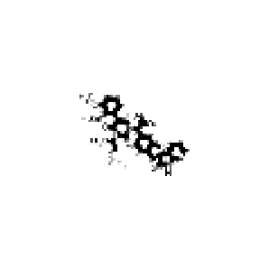 COC[C@@H](C)n1c(=O)c(-c2cccc(OC)c2OC)cn(C(C(N)=O)c2ccc3c(c2)C[C@@]2(C3)C(=O)Nc3ncccc32)c1=O